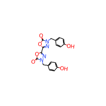 O=c1oc(-c2nn(Cc3ccc(O)cc3)c(=O)o2)nn1Cc1ccc(O)cc1